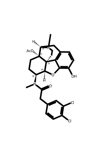 CC(=O)O[C@@]12CC[C@H](N(C)C(=O)Cc3ccc(Cl)c(Cl)c3)[C@@H]3Oc4c(O)ccc5c4[C@@]31CCN(C)[C@@H]2C5